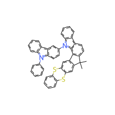 CC1(C)c2cc3c(cc2-c2c1ccc1c4ccccc4n(-c4ccc5c(c4)c4ccccc4n5-c4ccccc4)c21)Sc1ccccc1S3